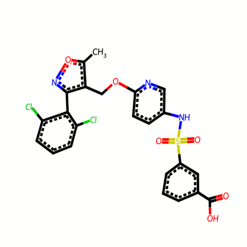 Cc1onc(-c2c(Cl)cccc2Cl)c1COc1ccc(NS(=O)(=O)c2cccc(C(=O)O)c2)cn1